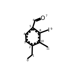 CCc1ccc(C=O)c(I)c1C